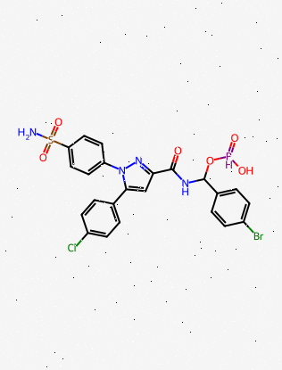 NS(=O)(=O)c1ccc(-n2nc(C(=O)NC(O[PH](=O)O)c3ccc(Br)cc3)cc2-c2ccc(Cl)cc2)cc1